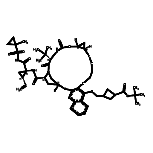 C=C[C@@H]1C[C@]1(NC(=O)[C@@H]1C[C@@H]2CN1C(=O)[C@H](C(C)(C)C)NC(=O)O[C@@H]1C[C@H]1CCCCCc1c(nc3ccccc3c1OCC1CN(C(=O)OC(C)(C)C)C1)O2)C(=O)NS(=O)(=O)C1(C)CC1